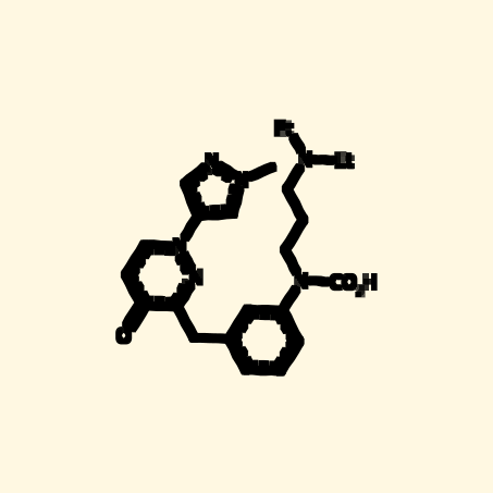 CCN(CC)CCCN(C(=O)O)c1cccc(Cc2nn(-c3cnn(C)c3)ccc2=O)c1